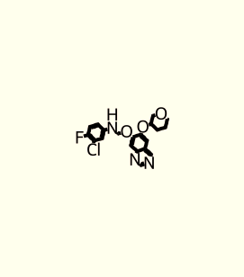 Fc1ccc(NCOc2cc3ncncc3cc2OC2CCCOC2)cc1Cl